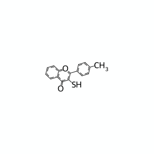 Cc1ccc(-c2oc3ccccc3c(=O)c2S)cc1